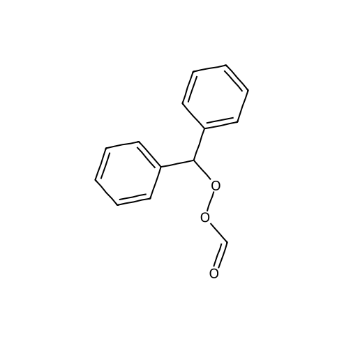 O=COOC(c1ccccc1)c1ccccc1